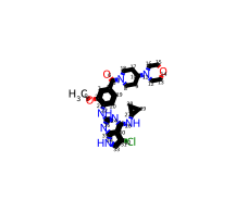 COc1cc(C(=O)N2CCC(N3CCOCC3)CC2)ccc1Nc1nc(NC2CC2)c2c(Cl)c[nH]c2n1